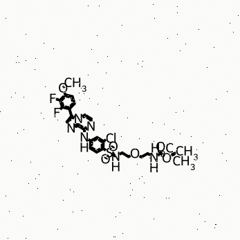 COc1ccc(-c2cnc3c(Nc4ccc(S(=O)(=O)NCCOCCNC(=O)OC(C)(C)C)c(Cl)c4)nccn23)c(F)c1F